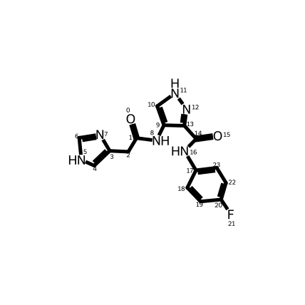 O=C(Cc1c[nH]cn1)Nc1c[nH]nc1C(=O)Nc1ccc(F)cc1